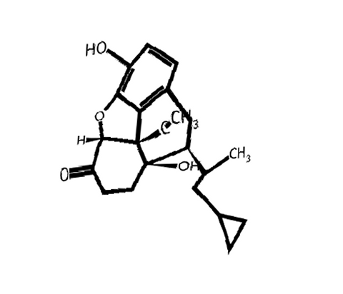 CC[C@]12c3c4ccc(O)c3O[C@H]1C(=O)CC[C@@]2(O)[C@H](C(C)CC1CC1)C4